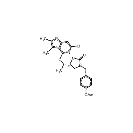 COc1ccc(CN2C[C@H](C(C)Oc3nc(Cl)cc4nn(C)c(C)c34)OC2=O)cc1